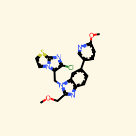 COCc1nc2ccc(-c3ccc(OC)nc3)cc2n1Cc1c(Cl)nc2sccn12